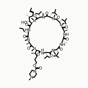 C/C=C/C[C@@H](C)[C@@H](O)[C@H]1C(=O)N[C@@H](CCC)C(=O)N(C)[C@H](C)C(=O)N(C)[C@@H]([C@H](C)CCCOC(=O)N2CCN(C)CC2)C(=O)N[C@@H](C(C)C)C(=O)N(C)[C@@H](CC(C)C)C(=O)N[C@@H](C)C(=O)N[C@H](C)C(=O)N(C)[C@@H](CC(C)C)C(=O)N(C)[C@@H](CC(C)C)C(=O)N(C)[C@@H](C(C)C)C(=O)N1C